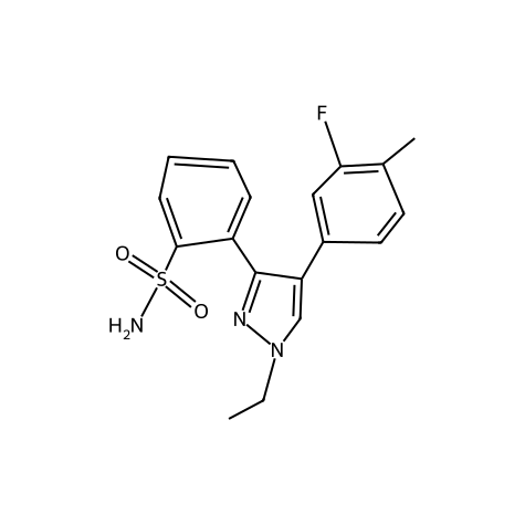 CCn1cc(-c2ccc(C)c(F)c2)c(-c2ccccc2S(N)(=O)=O)n1